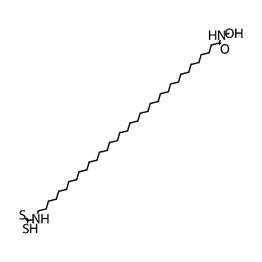 O=C(CCCCCCCCCCCCCCCCCCCCCCCCCCCCCCCCCCCNC(=S)S)NO